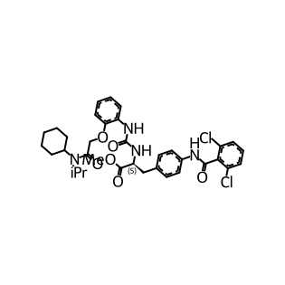 COC(=O)[C@H](Cc1ccc(NC(=O)c2c(Cl)cccc2Cl)cc1)NC(=O)Nc1ccccc1OCC(=O)N(C(C)C)C1CCCCC1